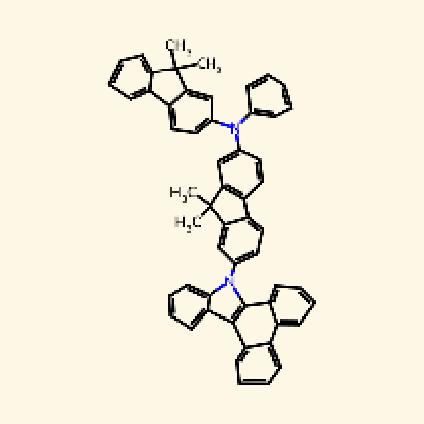 CC1(C)c2ccccc2-c2ccc(N(c3ccccc3)c3ccc4c(c3)C(C)(C)c3cc(-n5c6ccccc6c6c7ccccc7c7ccccc7c65)ccc3-4)cc21